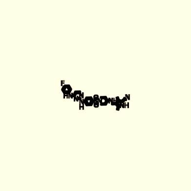 Cc1[nH]c(C#N)c(C)c1CNC1CCN(S(=O)(=O)c2ccc(Nc3nccc(Nc4ccc(F)cc4)n3)cc2)CC1